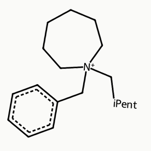 CCCC(C)C[N+]1(Cc2ccccc2)CCCCCC1